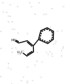 C/C=C\C(=C/C=N)c1ccccc1